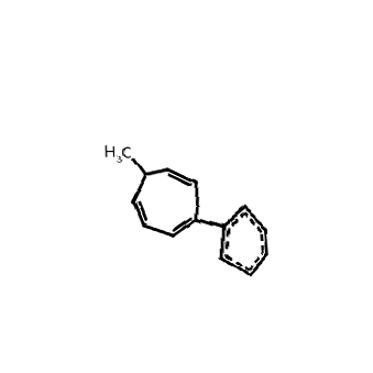 CC1C=CC=C(c2ccccc2)C=C1